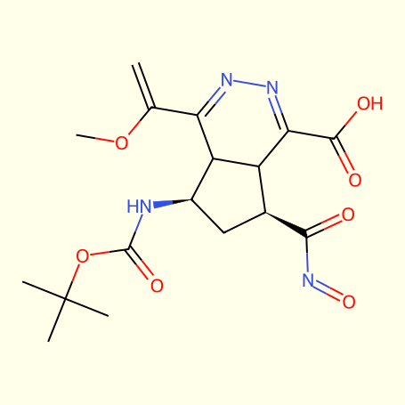 C=C(OC)C1=NN=C(C(=O)O)C2C1[C@H](NC(=O)OC(C)(C)C)C[C@@H]2C(=O)N=O